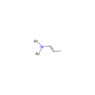 CC=CN(C(C)=O)C(C)=O